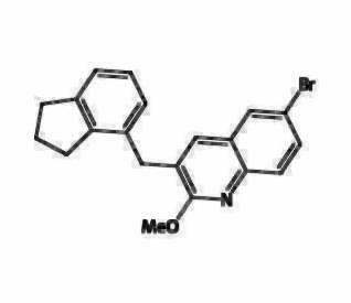 COc1nc2ccc(Br)cc2cc1Cc1cccc2c1CCC2